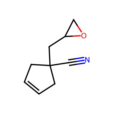 N#CC1(CC2CO2)CC=CC1